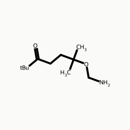 CC(C)(CCC(=O)C(C)(C)C)OCN